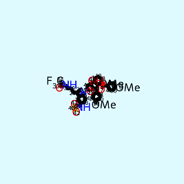 COc1ccc(C(OC)OC(c2ccccc2)(c2ccc(OC)cc2)C2OC(n3cc(CCCNC(=O)C(F)(F)F)c4cc(NS(C)(=O)=O)ccc43)CC2O)cc1